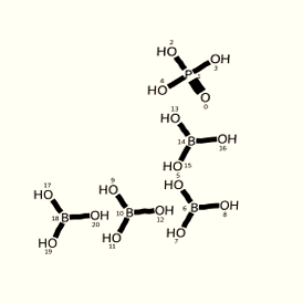 O=P(O)(O)O.OB(O)O.OB(O)O.OB(O)O.OB(O)O